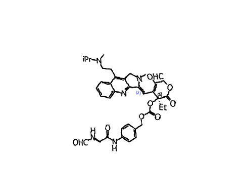 CC[C@@]1(OC(=O)OCc2ccc(NC(=O)CNC=O)cc2)C(=O)OCC(C=O)=C1/C=C1/c2nc3ccccc3c(CCN(C)C(C)C)c2CN1C